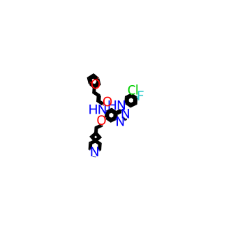 CN1CCC2(CC1)CC(CCOc1cc3ncnc(Nc4ccc(F)c(Cl)c4)c3cc1NC(=O)/C=C/Cc1cc3ccc1o3)C2